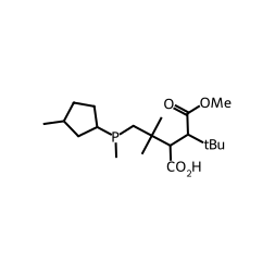 COC(=O)C(C(C(=O)O)C(C)(C)CP(C)C1CCC(C)C1)C(C)(C)C